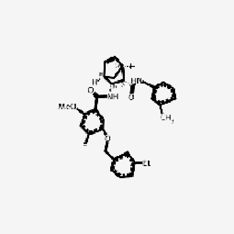 CCc1cccc(COc2cc(C(=O)N[C@H]3[C@@H](C(=O)Nc4cccc(C)c4)[C@@H]4C=C[C@H]3C4)c(OC)cc2F)c1